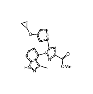 COC(=O)c1cc(-c2cccc(OC3CC3)c2)n(-c2cccc3[nH]nc(C)c23)n1